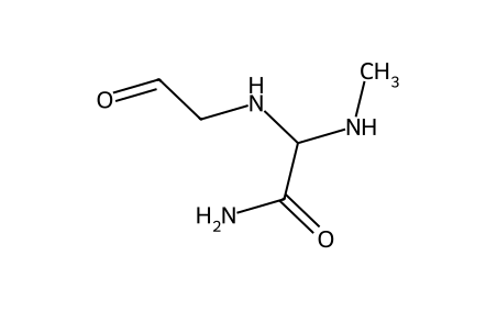 CNC(NCC=O)C(N)=O